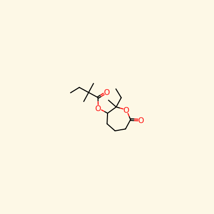 CCC(C)(C)C(=O)OC1CCCC(=O)OC1(C)CC